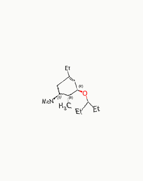 CCC1=C[C@@H](OC(CC)CC)[C@H](C)[C@@H](NC)C1